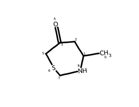 CC1CC(=O)CSCN1